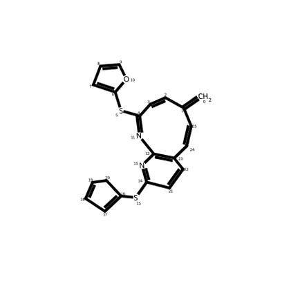 C=C1/C=C\C(Sc2ccco2)=N/c2nc(SC3=CC=CC3)ccc2/C=C\1